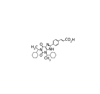 CC(C1CCCCC1)n1c(=O)c2nc(-c3ccc(C=CC(=O)O)cc3)[nH]c2n(C(C)C2CCCCC2)c1=O